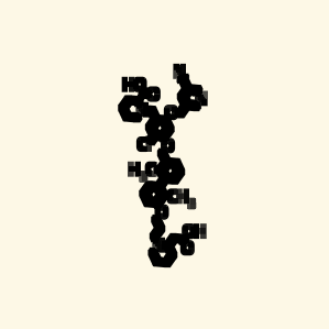 Cc1c(COc2cc(OCc3cncc(C#N)c3)c(CN3CCCC[C@H]3C(=O)O)cc2Cl)cccc1-c1cccc(OCCCN2CCCCC2CC(=O)O)c1C